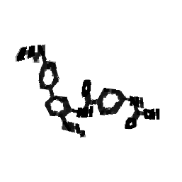 Nc1ccc(-c2ccc(N)c(NC(=O)c3ccc(NC(=O)O)cc3)c2)cc1